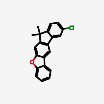 CC1(C)c2ccc(Cl)cc2-c2cc3c(cc21)oc1ccccc13